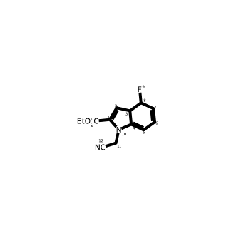 CCOC(=O)C1=CC2C(=CC=CC2F)N1CC#N